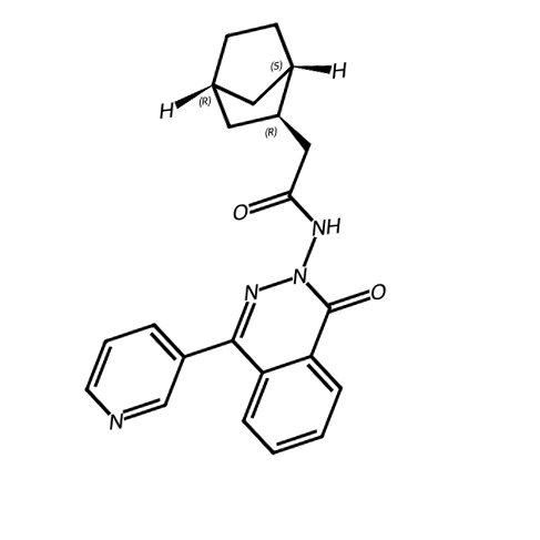 O=C(C[C@H]1C[C@@H]2CC[C@H]1C2)Nn1nc(-c2cccnc2)c2ccccc2c1=O